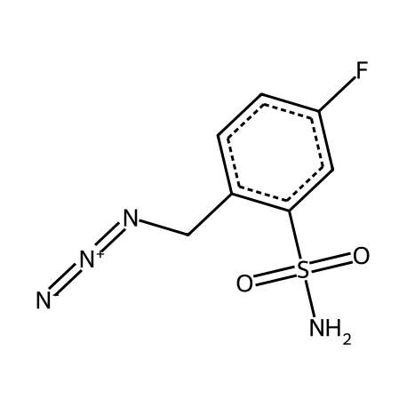 [N-]=[N+]=NCc1ccc(F)cc1S(N)(=O)=O